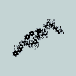 CCc1cc(OC)ccc1-c1ccc(C[C@H](NC(=O)[C@H](CC(=O)O)NC(=O)[C@H](CO)NC(=O)[C@@H](NC(=O)C(C)(Cc2ccccc2F)NC(=O)[C@@H](NC(=O)CNC(=O)[C@H](CCC(=O)O)NC(=O)C(C)(C)NC(=O)[C@@H](N)Cc2c[nH]cn2)C(C)O)C(C)O)C(=O)N[C@@H](Cc2ccc(-c3ccccc3F)nc2)C(N)=O)cc1